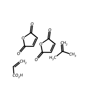 C=C(C)C.C=CC(=O)O.O=C1C=CC(=O)O1.O=C1C=CC(=O)O1